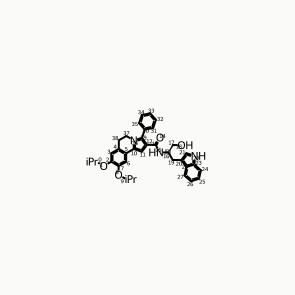 CC(C)Oc1cc2c(cc1OC(C)C)-c1cc(C(=O)N[C@@H](CO)Cc3c[nH]c4ccccc34)c(-c3ccccc3)n1CC2